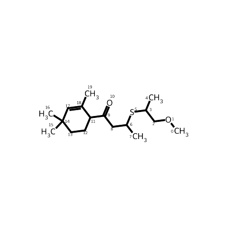 COCC(C)SC(C)CC(=O)C1CCC(C)(C)C=C1C